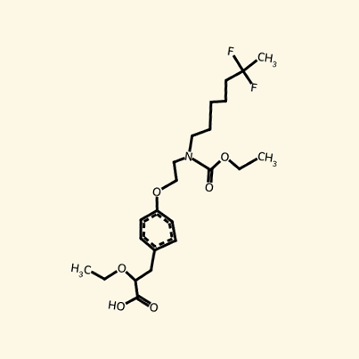 CCOC(=O)N(CCCCCC(C)(F)F)CCOc1ccc(CC(OCC)C(=O)O)cc1